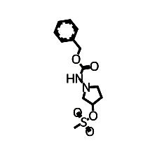 CS(=O)(=O)OC1CCN(NC(=O)OCc2ccccc2)C1